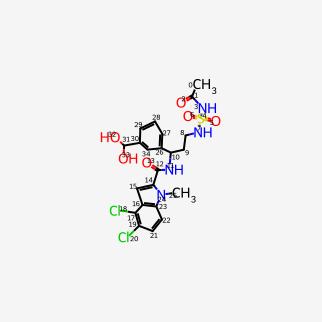 CC(=O)NS(=O)(=O)NCCC(NC(=O)c1cc2c(Cl)c(Cl)ccc2n1C)c1cccc(C(O)O)c1